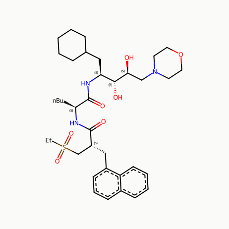 CCCC[C@H](NC(=O)[C@H](Cc1cccc2ccccc12)CS(=O)(=O)CC)C(=O)N[C@@H](CC1CCCCC1)[C@@H](O)[C@@H](O)CN1CCOCC1